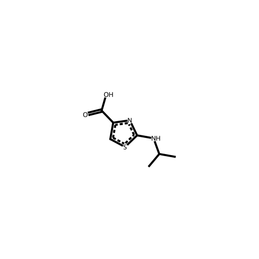 CC(C)Nc1nc(C(=O)O)cs1